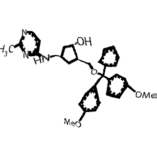 COc1ccc(C(OC[C@H]2C[C@@H](Nc3ccnc(C)n3)C[C@@H]2O)(c2ccccc2)c2ccc(OC)cc2)cc1